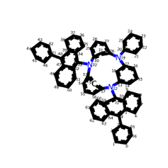 c1ccc(-c2c3ccccc3c(N3c4cccc(c4)N(c4ccccc4)c4cccc(c4)N(c4c5ccccc5c(-c5ccccc5)c5ccccc45)c4cccc3c4)c3ccccc23)cc1